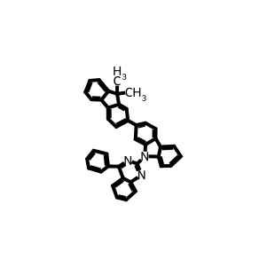 CC1(C)c2ccccc2-c2ccc(-c3ccc4c5ccccc5n(-c5nc(-c6ccccc6)c6ccccc6n5)c4c3)cc21